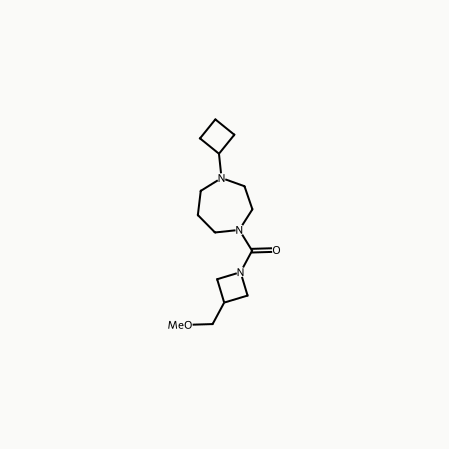 COCC1CN(C(=O)N2CCCN(C3CCC3)CC2)C1